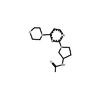 CC(=O)NC1CCN(c2nccc(N3CCOCC3)n2)C1